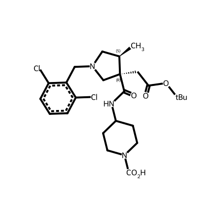 C[C@@H]1CN(Cc2c(Cl)cccc2Cl)C[C@]1(CC(=O)OC(C)(C)C)C(=O)NC1CCN(C(=O)O)CC1